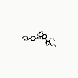 Cc1c(-c2ccc3ncnc(N[C@H]4CC[C@H](N5CCOCC5)CC4)c3c2)cnn1C